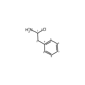 NC(Cl)Cc1ccccc1